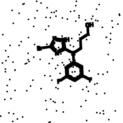 OCCCN(c1cc(F)cc(F)c1)c1nc(Br)n[nH]1